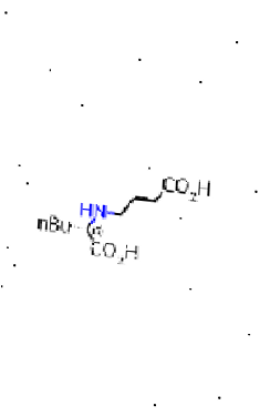 CCCC[C@H](NCCCC(=O)O)C(=O)O